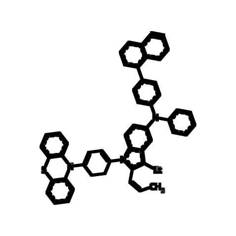 C/C=C\c1c(CC)c2cc(N(c3ccccc3)c3ccc(-c4cccc5c#cccc45)cc3)ccc2n1C1=CC=C(N2c3ccccc3Sc3ccccc32)CC1